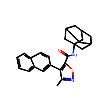 Cc1noc(C(=O)NC23CC4CC(CC(C4)C2)C3)c1-c1ccc2ccccc2c1